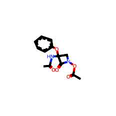 CC(=O)NC1(Oc2ccccc2)CN(OC(C)=O)C1=O